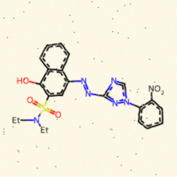 CCN(CC)S(=O)(=O)c1cc(N=Nc2ncn(-c3ccccc3[N+](=O)[O-])n2)c2ccccc2c1O